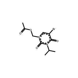 CC(=O)OCn1cc(Br)c(=O)n(C(C)C)c1=O